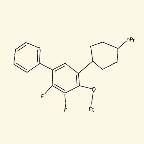 CCCC1CCC(c2cc(-c3ccccc3)c(F)c(F)c2OCC)CC1